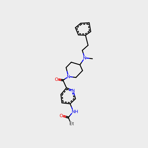 CCC(=O)Nc1ccc(C(=O)N2CCC(N(C)CCc3ccccc3)CC2)nc1